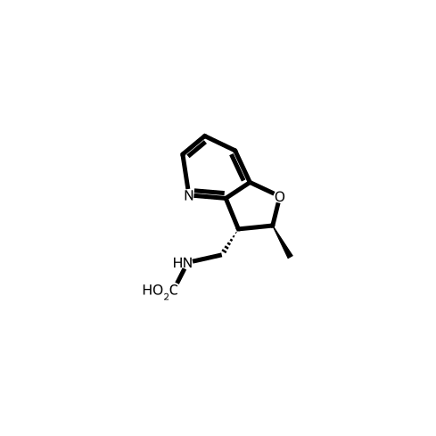 C[C@@H]1Oc2cccnc2[C@H]1CNC(=O)O